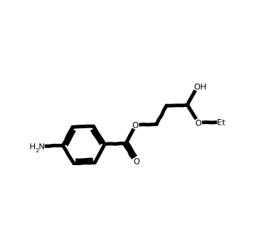 CCOC(O)CCOC(=O)c1ccc(N)cc1